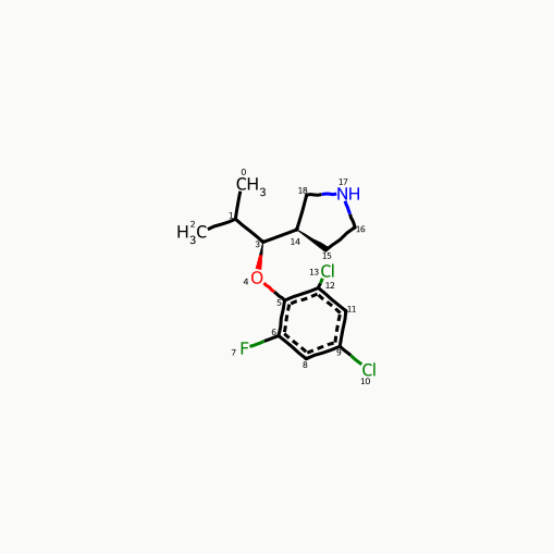 CC(C)[C@H](Oc1c(F)cc(Cl)cc1Cl)[C@@H]1CCNC1